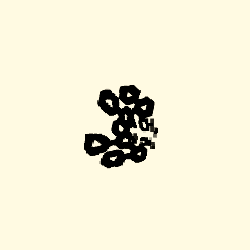 Cc1cccc(-c2ccccc2)c1-c1cc(-c2ccccc2)c2ccc3c(-c4ccccc4)cc(-c4c(C)cccc4-c4ccccc4)nc3c2n1